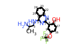 C[C@@H](N)CNc1nc(-c2cc(OC(F)(F)F)ccc2O)nc2ccccc12